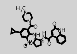 CN1CCN(C(=O)c2cc(C3CC3)cc([N+](=O)[O-])c2N[C@@H]2CCC[C@@H]2NC(=O)c2cc(=O)[nH]c3ccccc23)CC1